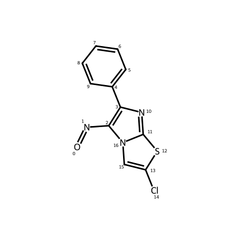 O=Nc1c(-c2ccccc2)nc2sc(Cl)cn12